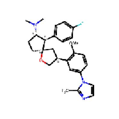 COc1ccc(-n2ccnc2C(F)(F)F)cc1[C@H]1CO[C@]2(CC[C@H](N(C)C)[C@H]2c2ccc(F)cc2)C1